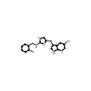 Fc1ccccc1CNc1ncc(Cc2c[nH]c3ncc(Cl)cc23)s1